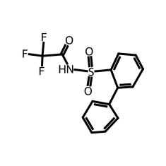 O=C(NS(=O)(=O)c1ccccc1-c1ccccc1)C(F)(F)F